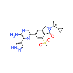 C[C@@H](C1CC1)N1Cc2cc(-c3cnc(N)c(-c4cn[nH]c4)n3)cc(S(C)(=O)=O)c2C1=O